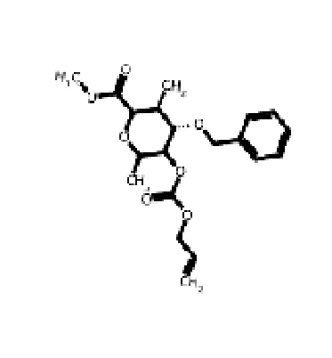 C=CCOC(=O)OC1C(C)OC(C(=O)OC)[C@@H](C)[C@@H]1OCc1ccccc1